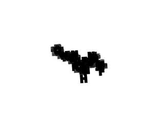 Fc1ccc(-c2ccnc3[nH]c(-c4n[nH]c5cnc(-c6cncc(CNCC7CCCC7)c6)cc45)cc23)s1